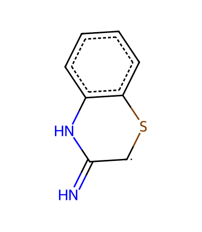 N=C1[CH]Sc2ccccc2N1